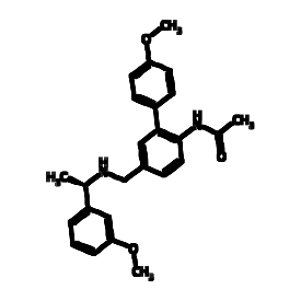 COc1ccc(-c2cc(CN[C@H](C)c3cccc(OC)c3)ccc2NC(C)=O)cc1